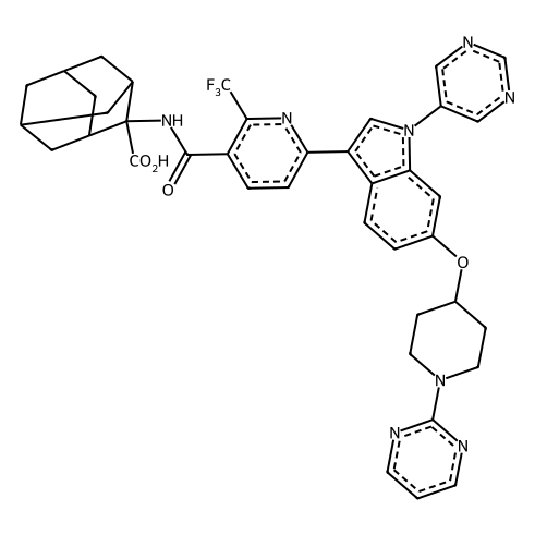 O=C(NC1(C(=O)O)C2CC3CC(C2)CC1C3)c1ccc(-c2cn(-c3cncnc3)c3cc(OC4CCN(c5ncccn5)CC4)ccc23)nc1C(F)(F)F